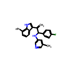 C=C(c1c[nH]c2c(CCC)cccc12)C(Nc1cncc(C)c1)c1ccc(F)cc1